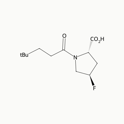 CC(C)(C)CCC(=O)N1C[C@H](F)C[C@H]1C(=O)O